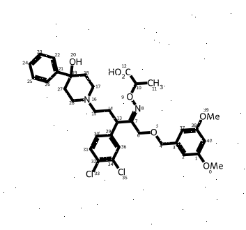 COc1cc(COCC(=NOC(C)C(=O)O)C(CCN2CCC(O)(c3ccccc3)CC2)c2ccc(Cl)c(Cl)c2)cc(OC)c1